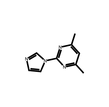 Cc1cc(C)nc(-n2ccnc2)n1